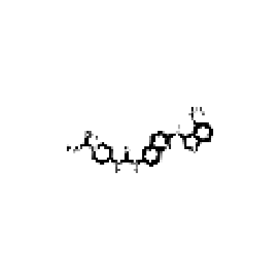 COc1cccc2c1C(Nc1ccc3cc(NC(=O)NC4CCN(C(C)C)CC4)ccc3n1)CO2